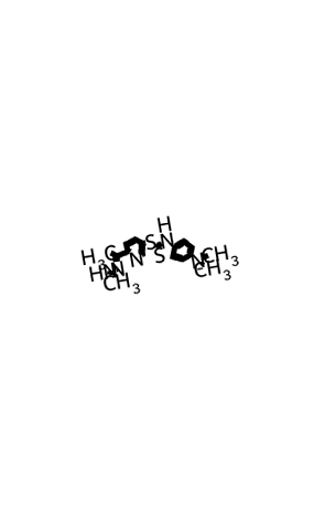 CNN=C(C)c1ccc(SC(=S)Nc2ccc(N(C)C)cc2)cn1